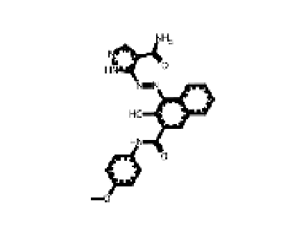 COc1ccc(NC(=O)c2cc3ccccc3c(/N=N/c3[nH]ncc3C(N)=O)c2O)cc1